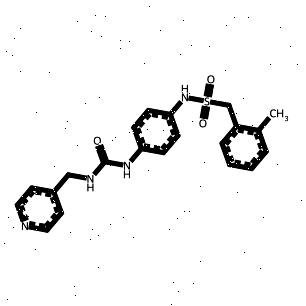 Cc1ccccc1CS(=O)(=O)Nc1ccc(NC(=O)NCc2ccncc2)cc1